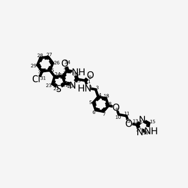 O=C(NCc1cccc(OCCOc2nc[nH]n2)c1)c1nc2scc(-c3ccccc3Cl)c2c(=O)[nH]1